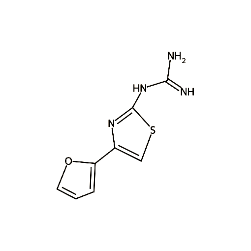 N=C(N)Nc1nc(-c2ccco2)cs1